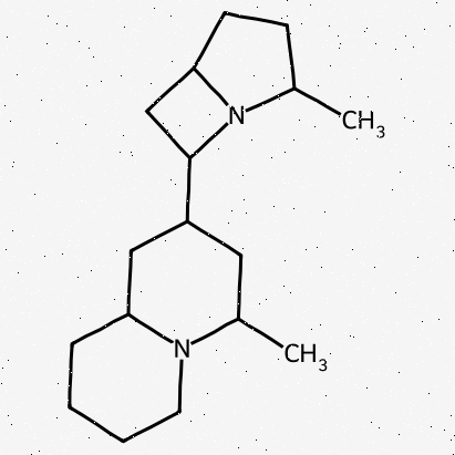 CC1CC(C2CC3CCC(C)N32)CC2CCCCN12